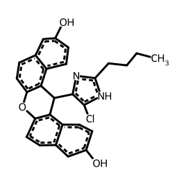 CCCCc1nc(C2c3c(ccc4cc(O)ccc34)Oc3ccc4cc(O)ccc4c32)c(Cl)[nH]1